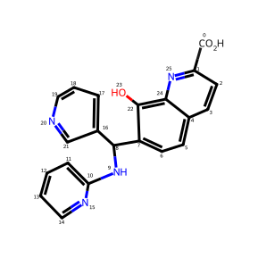 O=C(O)c1ccc2ccc(C(Nc3ccccn3)c3cccnc3)c(O)c2n1